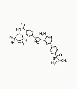 [2H]C(NC1CC([2H])([2H])OC([2H])([2H])C1)c1ccc(-c2cc(-c3nc(-c4ccc(S(=O)(=O)C(C)C)cc4)cnc3N)on2)cc1